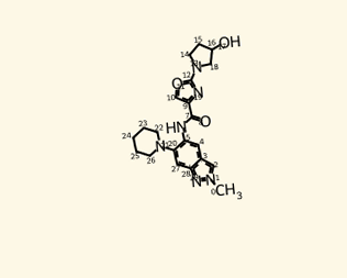 Cn1cc2cc(NC(=O)c3coc(N4CCC(O)C4)n3)c(N3CCCCC3)cc2n1